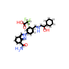 NC(=O)c1cccc2cn(-c3ccc(CNCC(O)C4CCCCC4)cc3)nc12.O=C(O)C(F)(F)F